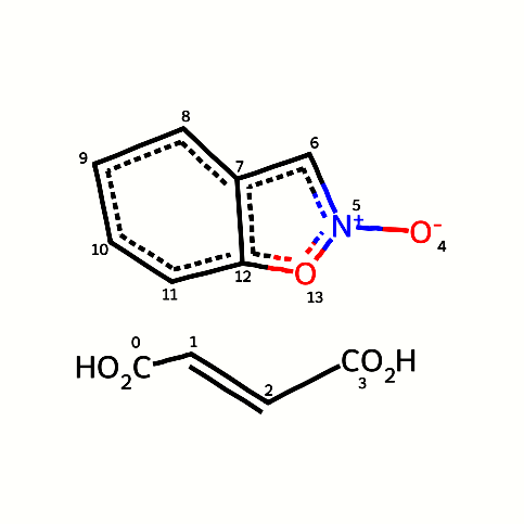 O=C(O)C=CC(=O)O.[O-][n+]1cc2ccccc2o1